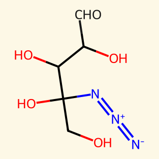 [N-]=[N+]=NC(O)(CO)C(O)C(O)C=O